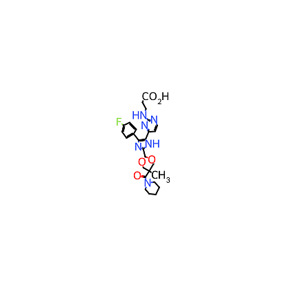 CC1(C(=O)N2CCCCC2)COC(c2nc(-c3ccc(F)cc3)c(-c3ccnc(NCCC(=O)O)n3)[nH]2)OC1